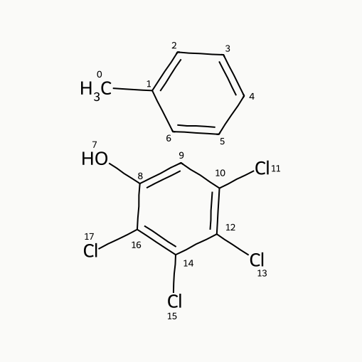 Cc1ccccc1.Oc1cc(Cl)c(Cl)c(Cl)c1Cl